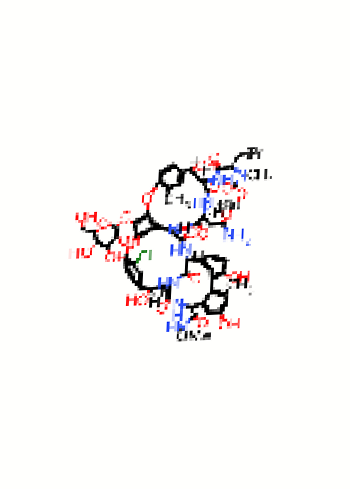 CONC(=O)[C@H]1NC(=O)[C@H]2NC(=O)[C@H](NC(=O)[C@@H]3NC(=O)[C@H](CC(N)=O)NC(=O)[C@H](NC(=O)[C@@H](CC(C)C)N(C)C(=O)OC(C)(C)C)[C@H](O)c4ccc(c(C)c4)Oc4cc3cc(c4O[C@@H]3O[C@H](CO)[C@@H](O)[C@H](O)[C@H]3O)Oc3ccc(cc3Cl)[C@H]2O)c2ccc(O)c(c2)-c2c(C)cc(O)cc21